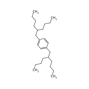 CCCCC(CCCC)Cc1ccc(CC(CCCC)CCCC)cc1